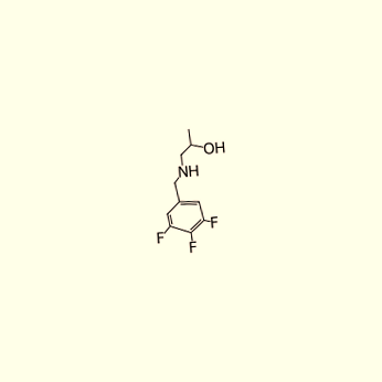 CC(O)CNCc1cc(F)c(F)c(F)c1